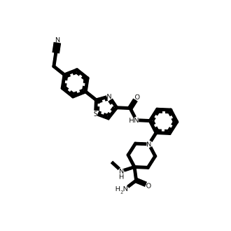 CNC1(C(N)=O)CCN(c2ccccc2NC(=O)c2csc(-c3ccc(CC#N)cc3)n2)CC1